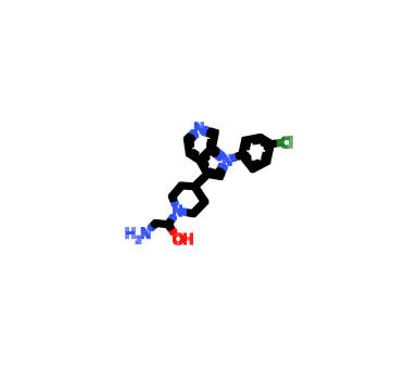 NCC(O)N1CCC(c2cn(-c3ccc(Cl)cc3)c3cnccc23)CC1